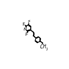 CCc1ccc(CCc2cc(F)c(F)nc2F)cc1